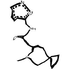 CN1CC2(CC2)CC1C(=O)Nc1ccno1